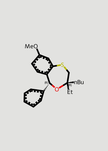 CCCC[C@]1(CC)CSc2cc(OC)ccc2[C@@H](c2ccccc2)O1